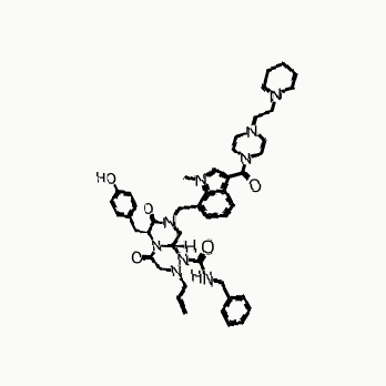 C=CCN1CC(=O)N2[C@@H](Cc3ccc(O)cc3)C(=O)N(Cc3cccc4c(C(=O)N5CCN(CCN6CCCCC6)CC5)cn(C)c34)C[C@@H]2N1C(=O)NCc1ccccc1